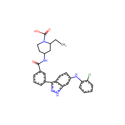 CCC1CC(NC(=O)c2cccc(-c3n[nH]c4cc(Nc5ccccc5Cl)ccc34)c2)CCN1C(=O)O